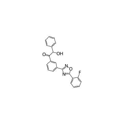 O=C(c1cccc(-c2noc(-c3ccccc3F)n2)c1)C(O)c1ccccc1